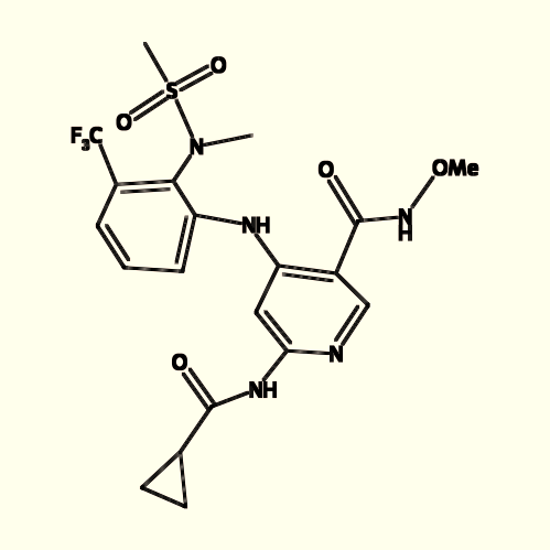 CONC(=O)c1cnc(NC(=O)C2CC2)cc1Nc1cccc(C(F)(F)F)c1N(C)S(C)(=O)=O